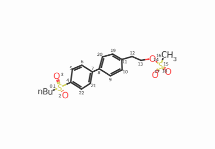 CCCCS(=O)(=O)c1ccc(-c2ccc(CCOS(C)(=O)=O)cc2)cc1